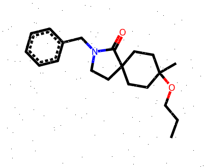 CCCOC1(C)CCC2(CCN(Cc3ccccc3)C2=O)CC1